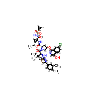 C=C[C@@H]1C[C@]1(NC(=O)[C@@H]1C[C@@H](Oc2ncc(O)c3ccc(Cl)cc23)CN1C(=O)[C@@H](Nc1nc(-c2ccc(C)c(C)c2)cs1)C(C)(C)C)C(=O)NS(=O)(=O)C1CC1